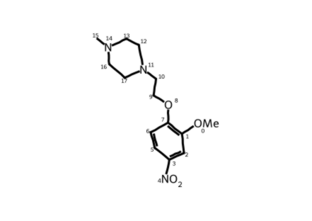 COc1cc([N+](=O)[O-])ccc1OCCN1CCN(C)CC1